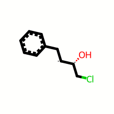 O[C@@H]([CH]Cc1ccccc1)CCl